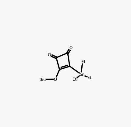 C[CH2][Sn]([CH2]C)([CH2]C)[c]1c(OC(C)(C)C)c(=O)c1=O